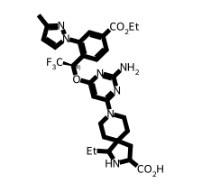 CCOC(=O)c1ccc([C@@H](Oc2cc(N3CCC4(CC3)CC(C(=O)O)NC4CC)nc(N)n2)C(F)(F)F)c(-n2ccc(C)n2)c1